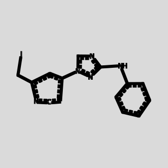 ICc1cc(-n2cnc(Nc3ccccc3)n2)ccn1